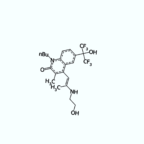 CCCCn1c(=O)c(C)c(/C=C(\C)NCCO)c2cc(C(O)(C(F)(F)F)C(F)(F)F)ccc21